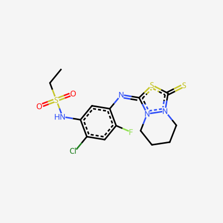 CCS(=O)(=O)Nc1cc(/N=c2/sc(=S)n3n2CCCC3)c(F)cc1Cl